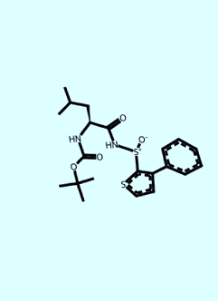 CC(C)C[C@H](NC(=O)OC(C)(C)C)C(=O)N[S+]([O-])c1sccc1-c1ccccc1